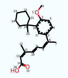 COc1ccc(\C(C)=C/C=C/C(C)=C\C(=O)O)cc1C1(C)CCCCC1